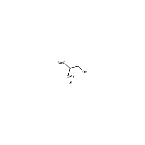 COC(CO)OC.[LiH]